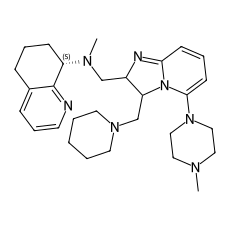 CN1CCN(C2=CC=CC3=NC(CN(C)[C@H]4CCCc5cccnc54)C(CN4CCCCC4)N23)CC1